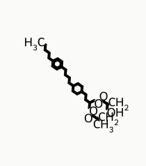 C=C(C)C(=O)OCC(CCC1CCC(CCCCc2ccc(CCCCC)cc2)CC1)COC(=O)C(=C)CO